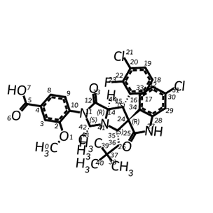 COc1cc(C(=O)O)ccc1N1C(=O)[C@H]2[C@H](c3cccc(Cl)c3F)[C@]3(C(=O)Nc4cc(Cl)ccc43)[C@H](CC(C)(C)C)N2[C@@H]1C